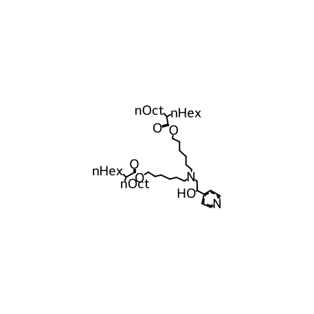 CCCCCCCCC(CCCCCC)C(=O)OCCCCCCN(CCCCCCOC(=O)C(CCCCCC)CCCCCCCC)CC(O)c1ccncc1